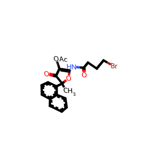 CC(=O)OC1=C(NC(=O)CCCBr)OC(C)(c2cccc3ccccc23)C1=O